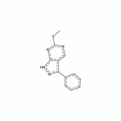 CSc1ncc2c(-c3ccccc3)n[nH]c2n1